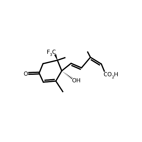 CC1=CC(=O)C[C@@](C)(C(F)(F)F)[C@@]1(O)/C=C/C(C)=C\C(=O)O